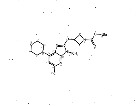 Cn1c(OC2CN(C(=O)OC(C)(C)C)C2)nc2c(N3CCOCC3)nc(Cl)nc21